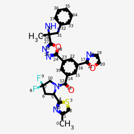 Cc1csc(C2CC(F)(F)CN2C(=O)c2cc(-c3ncco3)cc(-c3nnc(C(C)(N)Cc4ccccc4)o3)c2)n1